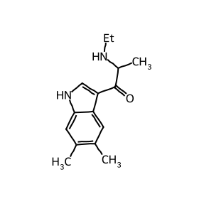 CCNC(C)C(=O)c1c[nH]c2cc(C)c(C)cc12